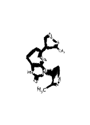 Cc1nocc1-c1ccc2[nH]c(=O)n(-c3conc3C)c2n1